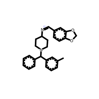 Cc1cccc(C(c2ccccc2)N2CCC(/N=C\c3ccc4c(c3)OCO4)CC2)c1